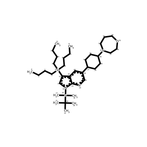 CCC[CH2][Sn]([CH2]CCC)([CH2]CCC)[c]1cn([Si](C)(C)C(C)(C)C)c2ncc(C3CCC(N4CCCOCC4)CC3)cc12